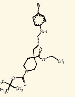 CCOC(=O)C1(CCCNc2ccc(Br)cc2)CCN(C(=O)OC(C)(C)C)CC1